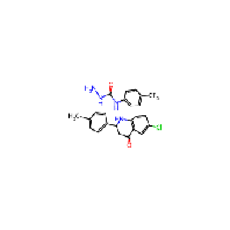 Cc1ccc(C2CC(=O)c3cc(Cl)ccc3N2)cc1.NNC(=O)Nc1ccc(C(F)(F)F)cc1